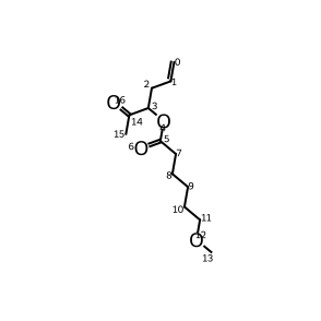 C=CCC(OC(=O)CCCCCOC)C(C)=O